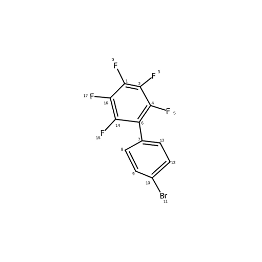 Fc1c(F)c(F)c(-c2ccc(Br)cc2)c(F)c1F